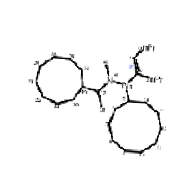 CCC/C=C(\CCC)N(C1CCCCCCCCC1)N(C)C(C)C1CCCCCCCC1